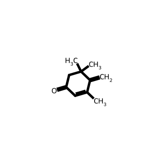 C=C1C(C)=CC(=O)CC1(C)C